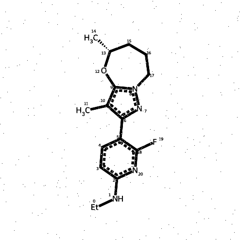 CCNc1ccc(-c2nn3c(c2C)O[C@H](C)CCC3)c(F)n1